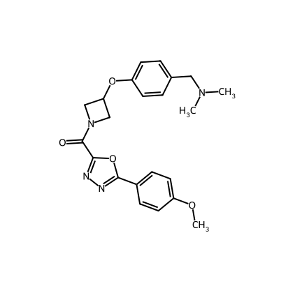 COc1ccc(-c2nnc(C(=O)N3CC(Oc4ccc(CN(C)C)cc4)C3)o2)cc1